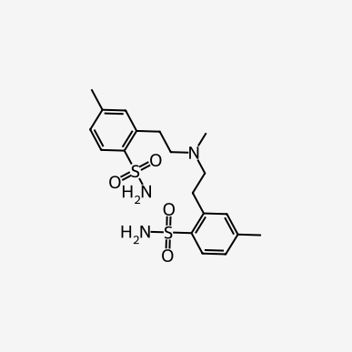 Cc1ccc(S(N)(=O)=O)c(CCN(C)CCc2cc(C)ccc2S(N)(=O)=O)c1